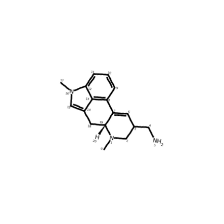 CN1CC(CN)C=C2c3cccc4c3c(cn4C)C[C@H]21